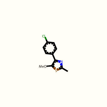 COc1sc(C)nc1-c1ccc(Cl)cc1